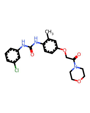 Cc1cc(OCC(=O)N2CCOCC2)ccc1NC(=O)Nc1cccc(Cl)c1